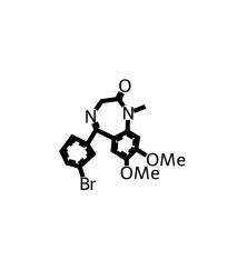 COc1cc2c(cc1OC)N(C)C(=O)CN=C2c1cccc(Br)c1